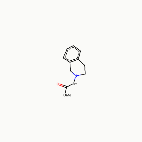 CO[C](=O)[Sn][N]1CCc2ccccc2C1